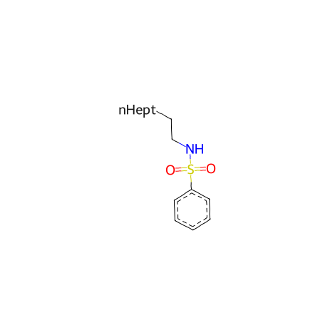 CCCCCCCCCNS(=O)(=O)c1ccccc1